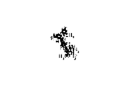 Cc1cc(F)ccc1Oc1ccc(C(F)(F)F)cc1C(=O)Nc1ccn(COP(OC(C)(C)C)OC(C)(C)C)c(=O)c1